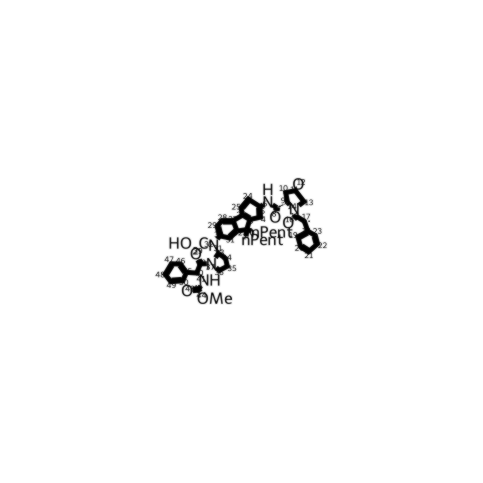 CCCCCC1(CCCCC)c2cc(NC(=O)[C@@H]3CC(=O)CN3C(=O)[CH]c3ccccc3)ccc2-c2ccc(N(C(=O)O)[C@H]3CCCN3C(=O)[C@H](NC(=O)OC)c3ccccc3)cc21